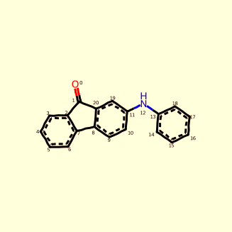 O=C1c2ccccc2-c2ccc(Nc3ccccc3)cc21